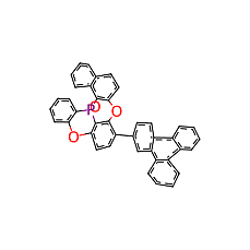 O=P12c3ccccc3Oc3ccc(-c4ccc5c6ccccc6c6ccccc6c5c4)c(c31)Oc1ccc3ccccc3c12